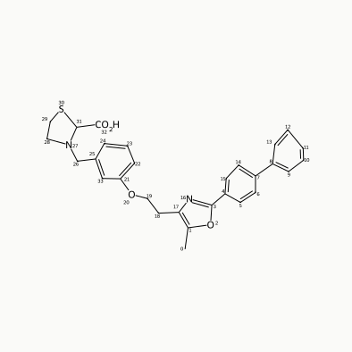 Cc1oc(-c2ccc(-c3ccccc3)cc2)nc1CCOc1cccc(CN2CCSC2C(=O)O)c1